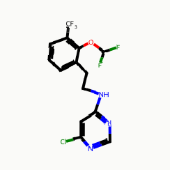 FC(F)Oc1c(CCNc2cc(Cl)ncn2)cccc1C(F)(F)F